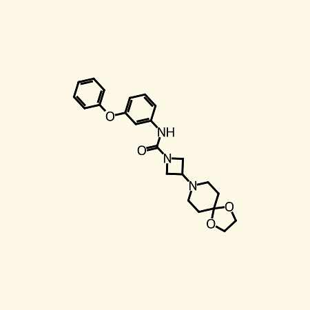 O=C(Nc1cccc(Oc2ccccc2)c1)N1CC(N2CCC3(CC2)OCCO3)C1